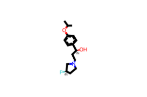 CC(C)Oc1ccc([C@@H](O)CCN2CC[C@@H](F)C2)cc1